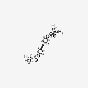 C=C(C)C(=O)COc1ccc(C#Cc2ccc(OCOC(=O)C(=C)C)cc2)cc1